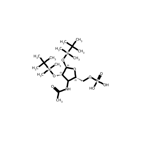 CC(=O)NC1[C@@H](COP(=O)(O)O)O[C@H](O[Si](C)(C)C(C)(C)C)[C@H]1O[Si](C)(C)C(C)(C)C